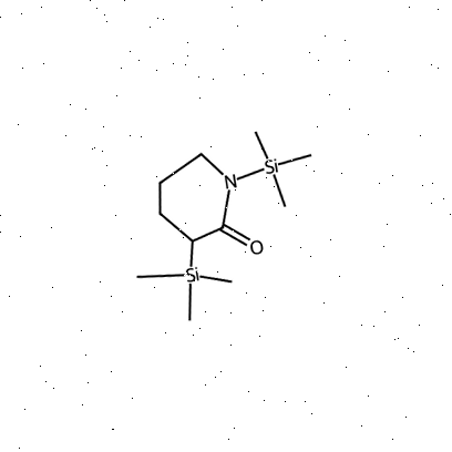 C[Si](C)(C)C1CCCN([Si](C)(C)C)C1=O